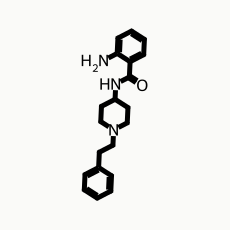 Nc1ccccc1C(=O)NC1CCN(CCc2ccccc2)CC1